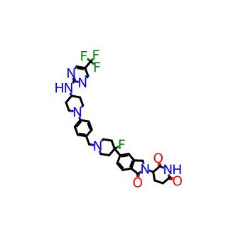 O=C1CCC(N2Cc3cc(C4(F)CCN(Cc5ccc(N6CCC(Nc7ncc(C(F)(F)F)cn7)CC6)cc5)CC4)ccc3C2=O)C(=O)N1